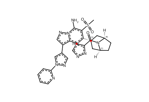 CS(=O)(=O)c1c([C@@H]2C[C@H]3CC[C@@H](C2)N3C(=O)c2nnc[nH]2)nc2c(-c3cnn(-c4ccccn4)c3)cnn2c1N